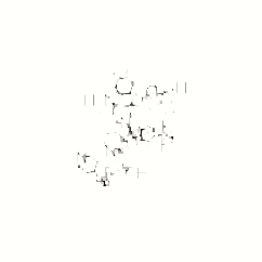 CCC[C@H]1N(C(=O)c2cnccc2C(F)(F)F)CCC[C@@]1(Oc1csc(C(F)(F)F)c1)C(=O)N1CCC(N)(c2ccccc2OCCC2(C(=O)O)CCC2)CC1